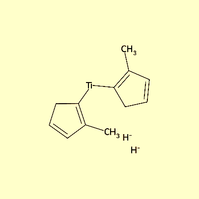 CC1=[C]([Ti][C]2=C(C)C=CC2)CC=C1.[H-].[H-]